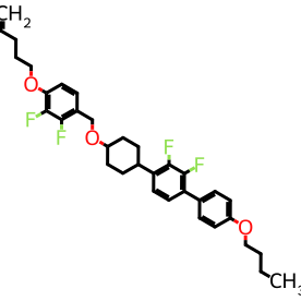 C=CCCCOc1ccc(COC2CCC(c3ccc(-c4ccc(OCCCC)cc4)c(F)c3F)CC2)c(F)c1F